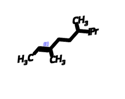 C/C=C(\C)CCC(C)C(C)C